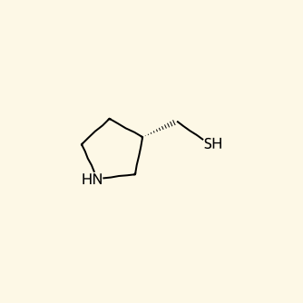 SC[C@H]1CCNC1